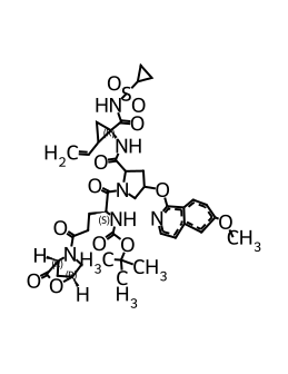 C=CC1C[C@]1(NC(=O)C1CC(Oc2nccc3cc(OC)ccc23)CN1C(=O)[C@H](CCC(=O)N1C[C@H]2C[C@@H]1C(=O)O2)NC(=O)OC(C)(C)C)C(=O)NS(=O)(=O)C1CC1